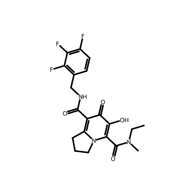 CCN(C)C(=O)c1c(O)c(=O)c(C(=O)NCc2ccc(F)c(F)c2F)c2n1CCC2